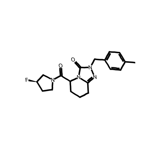 Cc1ccc(Cn2nc3n(c2=O)C(C(=O)N2CC[C@@H](F)C2)CCC3)cc1